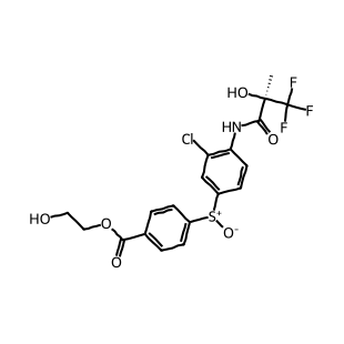 C[C@@](O)(C(=O)Nc1ccc([S+]([O-])c2ccc(C(=O)OCCO)cc2)cc1Cl)C(F)(F)F